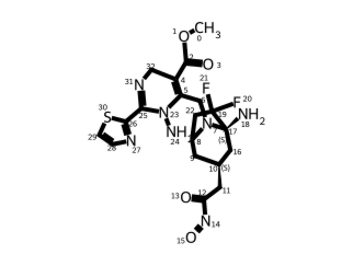 COC(=O)C1=C(CN2C3C[C@H](CC(=O)N=O)C[C@@]2(N)C(F)(F)C3)N(N)C(c2nccs2)=NC1